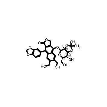 CC1(C)O[C@H]2[C@@H](O)[C@@H](CO)OC(Oc3c4c(c(-c5ccc6c(c5)OCO6)c5cc(CO)c(CO)cc35)C(=O)OC4)[C@@H]2O1